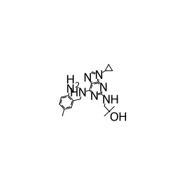 Cc1ccc(N)c(CNc2nc(NCC(C)(C)O)nc3c2ncn3C2CC2)c1